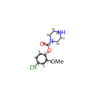 COc1cc(Cl)ccc1OC(=O)N1CCNCC1